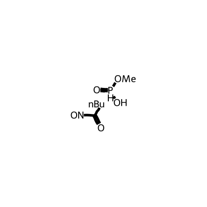 CCCCC(=O)N=O.CO[PH](=O)O